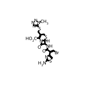 Cn1nnnc1SCC1=C(C(=O)O)N2C(=O)C(NC(=O)C(=CBr)c3csc(N)n3)[C@@H]2SC1